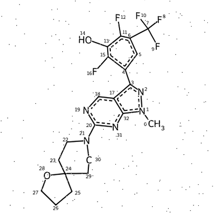 Cn1nc(-c2cc(C(F)(F)F)c(F)c(O)c2F)c2cnc(N3CCC4(CCCO4)CC3)nc21